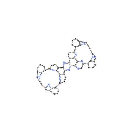 c1cc2cc3cc4cc5cccc(c6ccc7c(n6)c6nc(ccc6c6nc8c(nc76)c6ccc7nc6c6nc(cnc68)c6cccc8cc(cc9cc%10cccc7c%10n9)[nH]c86)c(c1)c2n3)c5[nH]4